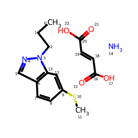 CCCn1ncc2ccc(SC)cc21.N.O=C(O)C=CC(=O)O